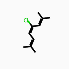 CC(C)=C/C=C(/Cl)C=C(C)C